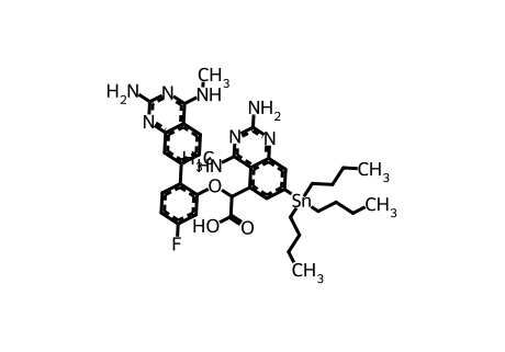 CCC[CH2][Sn]([CH2]CCC)([CH2]CCC)[c]1cc(C(Oc2cc(F)ccc2-c2ccc3c(NC)nc(N)nc3c2)C(=O)O)c2c(NC)nc(N)nc2c1